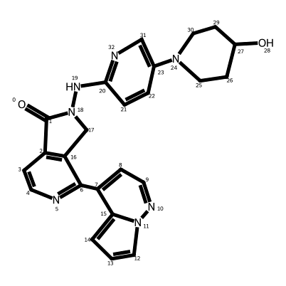 O=C1c2ccnc(-c3ccnn4cccc34)c2CN1Nc1ccc(N2CCC(O)CC2)cn1